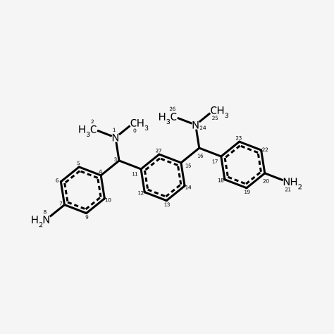 CN(C)C(c1ccc(N)cc1)c1cccc(C(c2ccc(N)cc2)N(C)C)c1